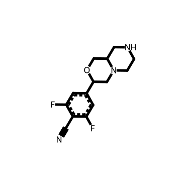 N#Cc1c(F)cc(C2CN3CCNCC3CO2)cc1F